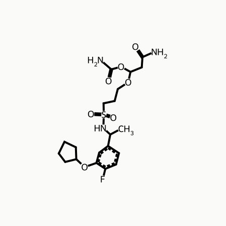 CC(NS(=O)(=O)CCCOC(CC(N)=O)OC(N)=O)c1ccc(F)c(OC2CCCC2)c1